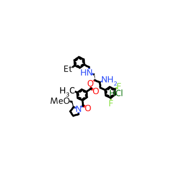 CCc1cccc(CNC[C@@H](OC(=O)c2cc(C)cc(C(=O)N3CCC[C@H]3COC)c2)[C@@H](N)Cc2cc(F)cc(F)c2)c1.Cl